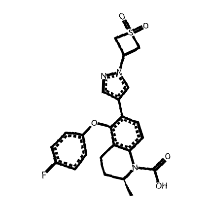 C[C@H]1CCc2c(ccc(-c3cnn(C4CS(=O)(=O)C4)c3)c2Oc2ccc(F)cc2)N1C(=O)O